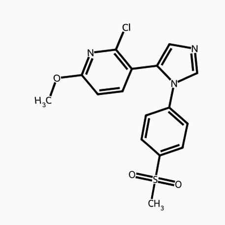 COc1ccc(-c2cncn2-c2ccc(S(C)(=O)=O)cc2)c(Cl)n1